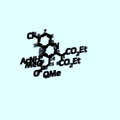 CCOC(=O)C(C(=O)OCC)c1nc2ccc(Cl)cc2c(NC(C)=O)c1CP(=O)(OC)OC